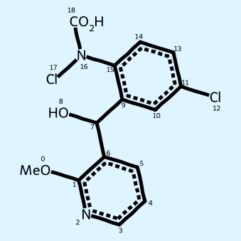 COc1ncccc1C(O)c1cc(Cl)ccc1N(Cl)C(=O)O